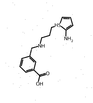 NC1=CC=C[SH]1CCCNCc1cccc(C(=O)O)c1